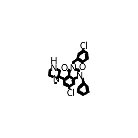 CN1CCNCC1c1cc(Cl)cc2c1c(=O)n(Cc1cccc(Cl)c1)c(=O)n2Cc1ccccc1